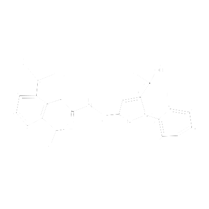 CC(C)c1cccc(C(C)C)c1CC(=O)NSC1C=C(C(C)(C)O)N(c2ccccc2)N1